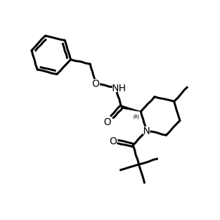 CC1CCN(C(=O)C(C)(C)C)[C@@H](C(=O)NOCc2ccccc2)C1